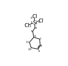 Cl[Si](Cl)(Cl)CCC1CC=CCC1